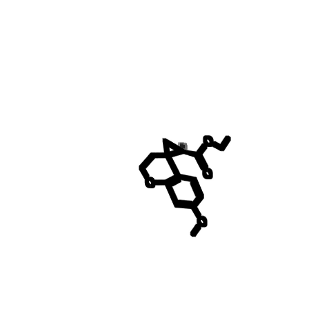 CCOC(=O)[C@@H]1CC12CCOc1cc(OC)ccc12